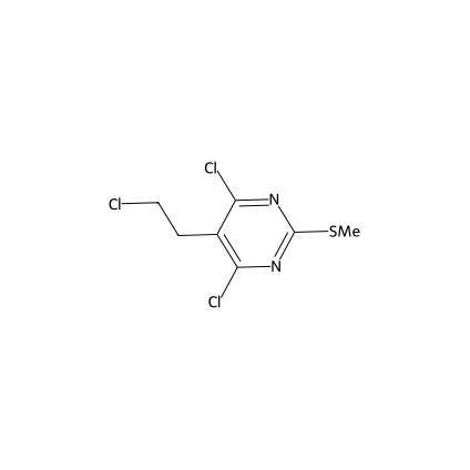 CSc1nc(Cl)c(CCCl)c(Cl)n1